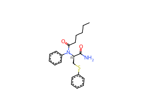 CCCCCC(=O)N(c1ccccc1)[C@H](CSc1ccccc1)C(N)=O